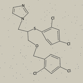 Clc1ccc(COCC(Cn2ccnc2)Sc2ccc(Cl)cc2Cl)c(Cl)c1